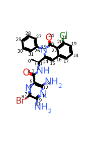 C[C@H](NC(=O)c1nc(Br)c(N)nc1N)c1cc2cccc(Cl)c2c(=O)n1-c1ccccc1